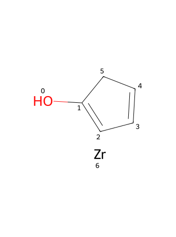 OC1=CC=CC1.[Zr]